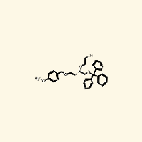 COc1ccc(COCC[C@@H](COC(c2ccccc2)(c2ccccc2)c2ccccc2)OCCO)cc1